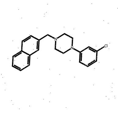 Clc1cccc(N2CCN(Cc3ccc4ccccc4c3)CC2)c1